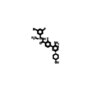 NC[C@@H](NC(=O)c1ccc(-c2nc([C@H]3CC[C@H](O)CC3)cnc2N)cc1F)c1cc(F)cc(Br)c1